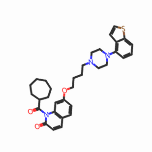 O=C(C1CCCCCC1)n1c(=O)ccc2ccc(OCCCCN3CCN(c4cccc5sccc45)CC3)cc21